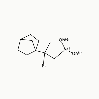 CCC(C)(C[SiH](OC)OC)C12CCC(CC1)C2